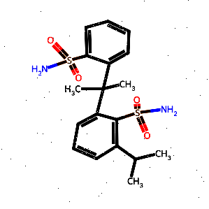 CC(C)c1cccc(C(C)(C)c2ccccc2S(N)(=O)=O)c1S(N)(=O)=O